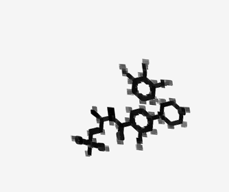 C[C@H](/C=C/S(C)(=O)=O)NC(=O)c1ccc(N2CCOC[C@H]2c2ccc(F)c(F)c2F)cc1F